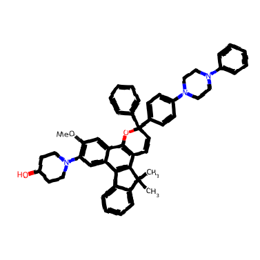 COc1cc2c3c(c4c(c2cc1N1CCC(O)CC1)-c1ccccc1C4(C)C)C=CC(c1ccccc1)(c1ccc(N2CCN(c4ccccc4)CC2)cc1)O3